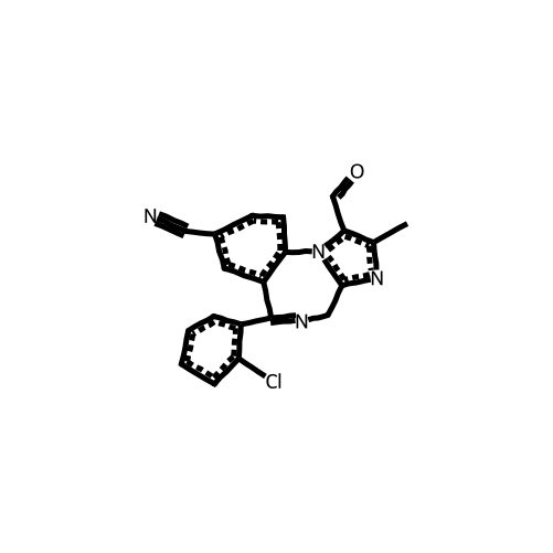 Cc1nc2n(c1C=O)-c1ccc(C#N)cc1C(c1ccccc1Cl)=NC2